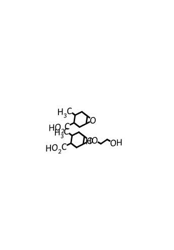 CC1CC2OC2CC1C(=O)O.CC1CC2OC2CC1C(=O)O.OCCO